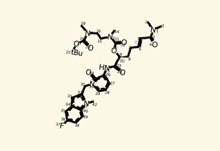 CN(C)C(=O)/C=C/CC[C@H](OC(=O)N(C)CCN(C)C(=O)OC(C)(C)C)C(=O)Nc1cccn(Cc2cc3cc(F)ccc3n2C)c1=O